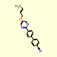 C/C=C/COc1cnc(-c2ccc(-c3ccc(C#N)cc3)cc2)nc1